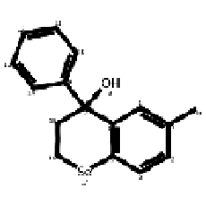 Cc1ccc2c(c1)C(O)(c1ccccc1)CC[Se]2